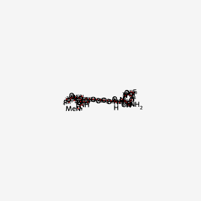 CN[C@@H](C)C(=O)N[C@H](C(=O)N1CCC[C@H]1C1=NC(C(=O)c2ccc(F)cc2)CS1)C1CCN(CCOCCOCCOCCOCCC(=O)NCCn2nc3c(c2C#N)-c2cnc(N)c(c2)O[C@H](C)c2cc(F)ccc2C(=O)N(C)C3)CC1